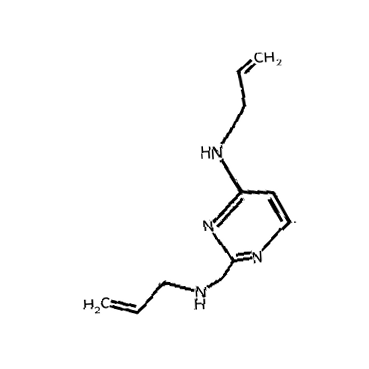 C=CCNc1c[c]nc(NCC=C)n1